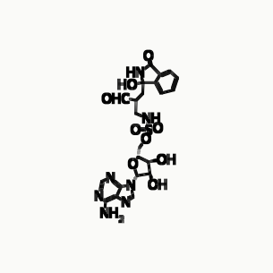 Nc1ncnc2c1ncn2[C@@H]1O[C@H](COS(=O)(=O)NCC(C=O)CC2(O)NC(=O)c3ccccc32)[C@@H](O)[C@H]1O